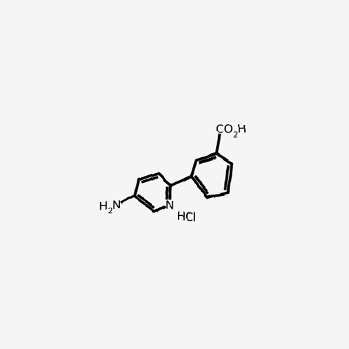 Cl.Nc1ccc(-c2cccc(C(=O)O)c2)nc1